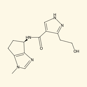 Cn1cnc2c1CC[C@H]2NC(=O)c1c[nH]nc1CCO